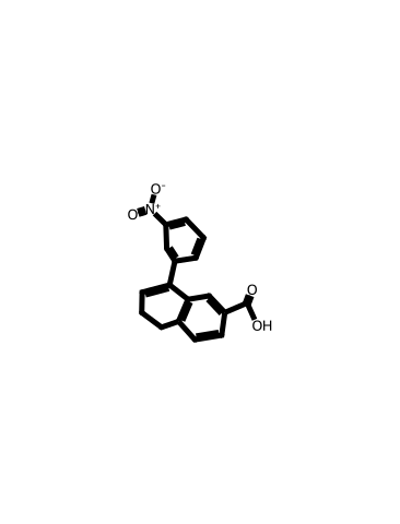 O=C(O)c1ccc2c(c1)C(c1cccc([N+](=O)[O-])c1)=CCC2